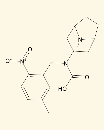 Cc1ccc([N+](=O)[O-])c(CN(C(=O)O)C2CC3CCC(C2)N3C)c1